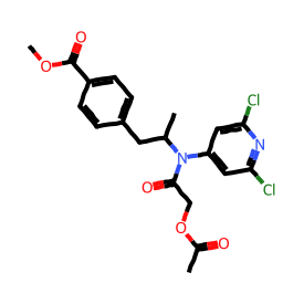 COC(=O)c1ccc(CC(C)N(C(=O)COC(C)=O)c2cc(Cl)nc(Cl)c2)cc1